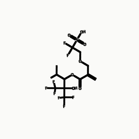 C=C(COCC(F)(F)S(=O)(=O)O)C(=O)OC(C(C)C)C(O)(C(F)(F)F)C(F)(F)F